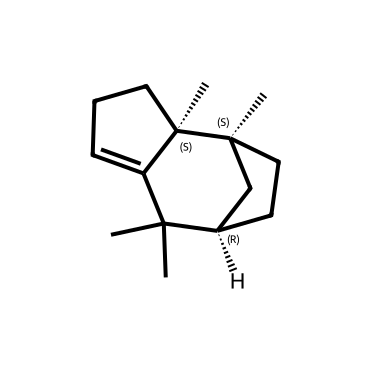 CC1(C)C2=CCC[C@@]2(C)[C@@]2(C)CC[C@@H]1C2